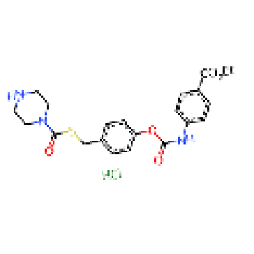 CCOC(=O)c1ccc(NC(=O)Oc2ccc(CSC(=O)N3CCNCC3)cc2)cc1.Cl